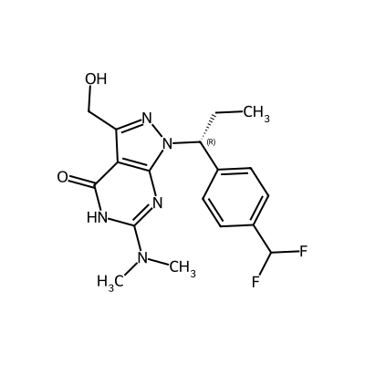 CC[C@H](c1ccc(C(F)F)cc1)n1nc(CO)c2c(=O)[nH]c(N(C)C)nc21